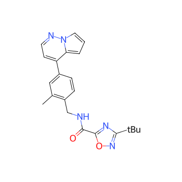 Cc1cc(-c2ccnn3cccc23)ccc1CNC(=O)c1nc(C(C)(C)C)no1